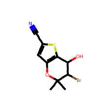 CC1(C)Oc2cc(C#N)sc2C(O)C1Br